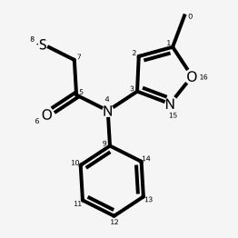 Cc1cc(N(C(=O)C[S])c2ccccc2)no1